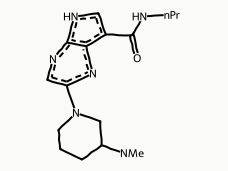 CCCNC(=O)c1c[nH]c2ncc(N3CCCC(NC)C3)nc12